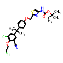 CC(C)(C)OC(=O)Nc1csc(COc2ccc(C(C)(C)c3cc(Cl)c(OCCCl)c(C#N)c3)cc2)n1